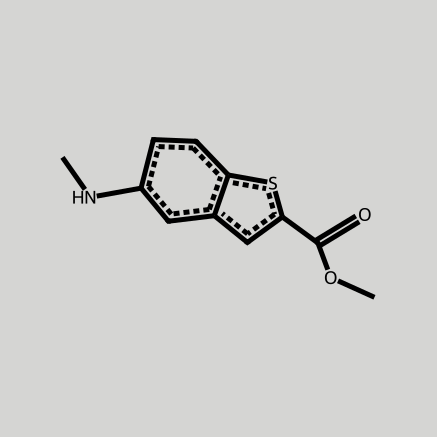 CNc1ccc2sc(C(=O)OC)cc2c1